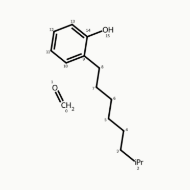 C=O.CC(C)CCCCCCc1ccccc1O